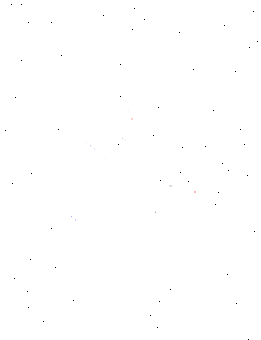 NCCCC(N)C(=O)O.O=C(O)C(F)(F)F